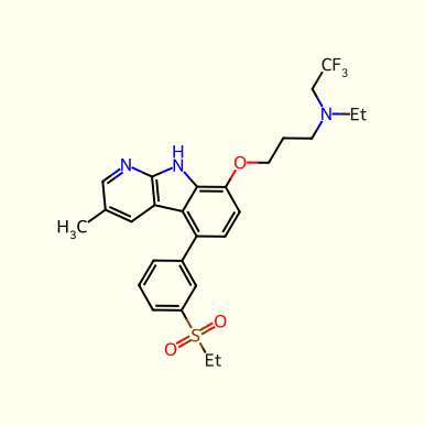 [CH2]CN(CCCOc1ccc(-c2cccc(S(=O)(=O)CC)c2)c2c1[nH]c1ncc(C)cc12)CC(F)(F)F